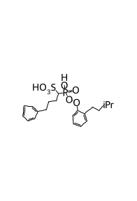 CC(C)CCc1ccccc1OOP(=O)(O)C(CCCc1ccccc1)S(=O)(=O)O